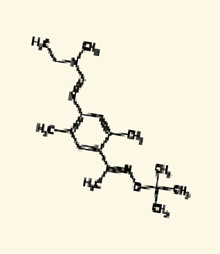 CCN(C)C=Nc1cc(C)c(C(C)=NOC(C)(C)C)cc1C